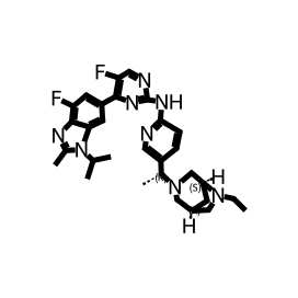 CCN1C[C@@H]2C[C@H]1CN([C@H](C)c1ccc(Nc3ncc(F)c(-c4cc(F)c5nc(C)n(C(C)C)c5c4)n3)nc1)C2